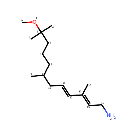 COC(C)(C)CCCC(C)C/C=C/C(C)=C/CN